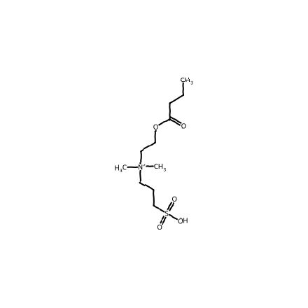 CCCC(=O)OCC[N+](C)(C)CCCS(=O)(=O)O